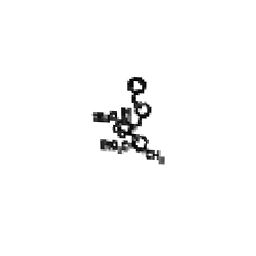 CCOC(=O)[C@H]1C[C@H](C)CCN1C(=O)[C@H](CC1=CCCN(Cc2ccccc2)C1)NC(=O)OC(C)(C)C